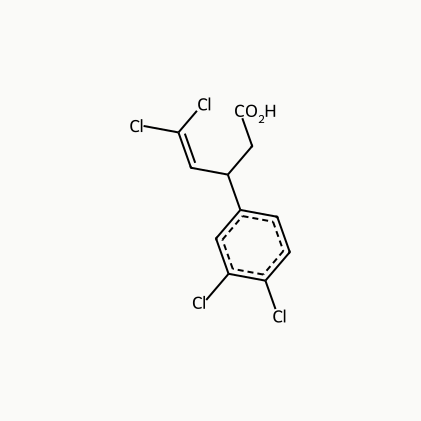 O=C(O)CC(C=C(Cl)Cl)c1ccc(Cl)c(Cl)c1